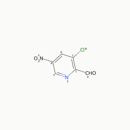 O=Cc1ncc([N+](=O)[O-])cc1Cl